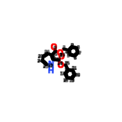 O=C(OCc1ccccc1)C1=C(C(=O)OCc2ccccc2)NC=CC=C1